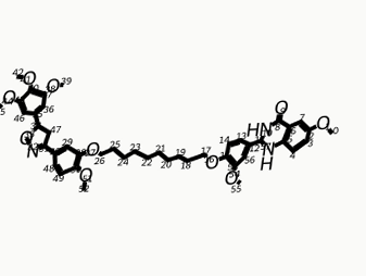 COc1ccc2c(c1)C(=O)NC(c1ccc(OCCCCCCCCCCOc3cc(C4=NOC(c5cc(OC)c(OC)c(OC)c5)C4)ccc3OC)c(OC)c1)N2